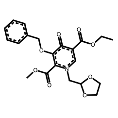 CCOC(=O)c1cn(CC2OCCO2)c(C(=O)OC)c(OCc2ccccc2)c1=O